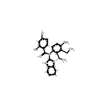 CCc1c(N)ccc(N(C(=O)c2ccc(Cl)cc2Cl)c2nc3ccccc3s2)c1CC